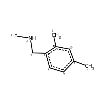 Cc1ccc(CNF)c(C)c1